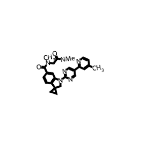 CNC(=O)CN(C)C(=O)c1ccc2c(c1)N(c1ncc(-c3cc(C)ccn3)cn1)CC21CC1